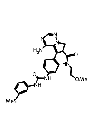 COCCNC(=O)C1CN2N=CN=C(N)C2=C1c1ccc(NC(=O)Nc2cccc(SC)c2)cc1